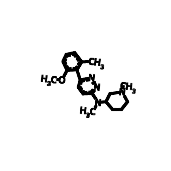 COc1cccc(C)c1-c1ccc(N(C)C2CCCN(C)C2)nn1